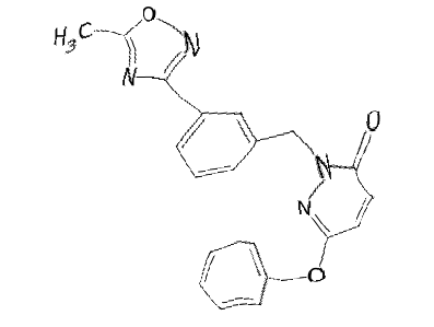 Cc1nc(-c2cccc(Cn3nc(Oc4ccccc4)ccc3=O)c2)no1